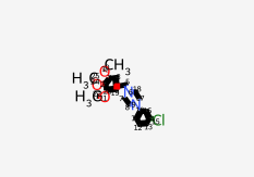 COc1cc(CN2CCN(c3cccc(Cl)c3)CC2)cc(OC)c1OC